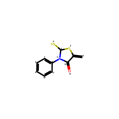 C=C1SC(S)N(c2ccccc2)C1=O